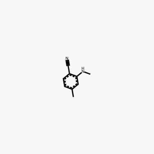 CNc1cc(C)ccc1C#N